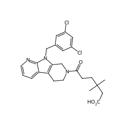 CC(C)(CCC(=O)N1CCc2c(n(Cc3cc(Cl)cc(Cl)c3)c3ncccc23)C1)CC(=O)O